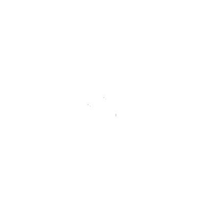 COC(=O)c1nc(C2CCCC2)[nH]c1-c1ccccc1